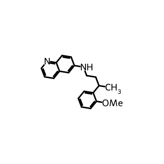 COc1ccccc1C(C)CCNc1ccc2ncccc2c1